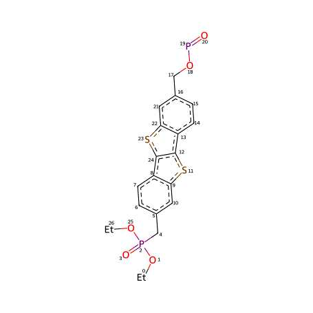 CCOP(=O)(Cc1ccc2c(c1)sc1c3ccc(COP=O)cc3sc21)OCC